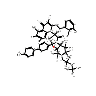 [2H]c1c(C)c([2H])c2c(c1[2H])c(=O)c([2H])c(SCc1cccc(F)c1F)n2C([2H])([2H])C(=O)N(C([2H])([2H])c1ccc(-c2ccc(C(F)(F)F)cc2)cc1)C1([2H])C([2H])([2H])C([2H])([2H])N(CC([2H])([2H])OC([2H])([2H])[2H])C([2H])([2H])C1([2H])[2H]